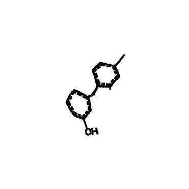 Cc1c[c]c(-c2cccc(O)c2)cc1